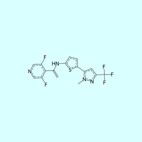 C=C(Nc1ccc(-c2cc(C(F)(F)F)nn2C)s1)c1c(F)cncc1F